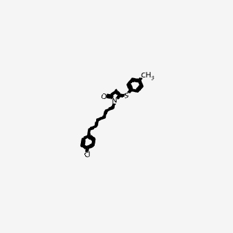 Cc1ccc(SC2CC(=O)N2CCCCCCc2ccc(Cl)cc2)cc1